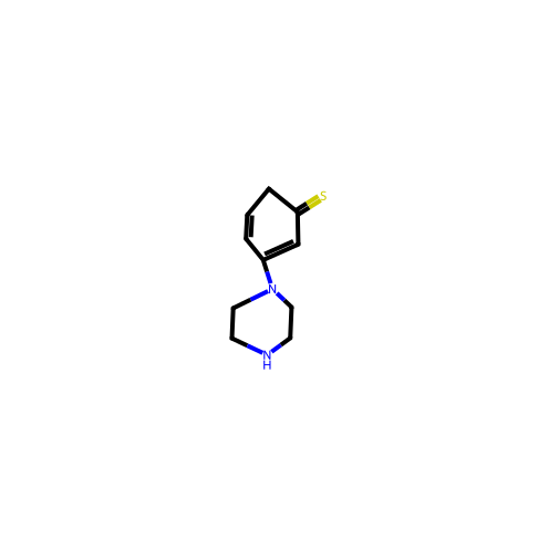 S=C1C=C(N2CCNCC2)C=CC1